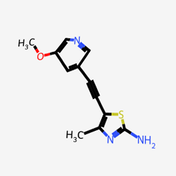 COc1cncc(C#Cc2sc(N)nc2C)c1